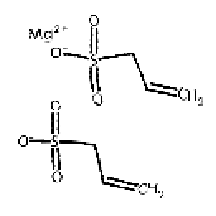 C=CCS(=O)(=O)[O-].C=CCS(=O)(=O)[O-].[Mg+2]